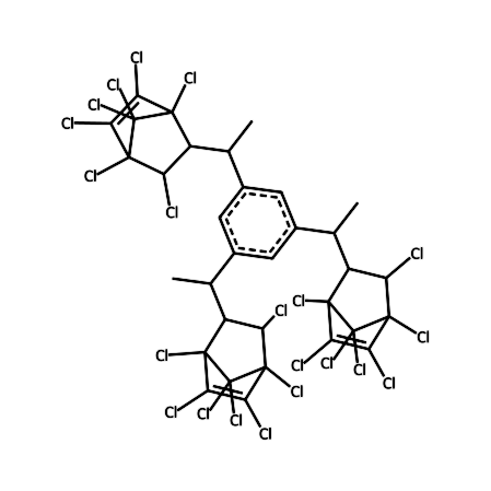 CC(c1cc(C(C)C2C(Cl)C3(Cl)C(Cl)=C(Cl)C2(Cl)C3(Cl)Cl)cc(C(C)C2C(Cl)C3(Cl)C(Cl)=C(Cl)C2(Cl)C3(Cl)Cl)c1)C1C(Cl)C2(Cl)C(Cl)=C(Cl)C1(Cl)C2(Cl)Cl